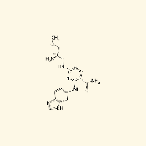 COC[C@H](N)CNc1ncc(C(N)=O)c(Nc2ccc3nc[nH]c3c2)n1